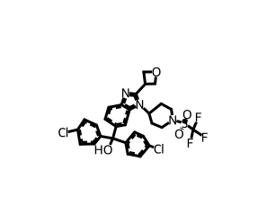 O=S(=O)(N1CCC(n2c(C3COC3)nc3ccc(C(O)(c4ccc(Cl)cc4)c4ccc(Cl)cc4)cc32)CC1)C(F)(F)F